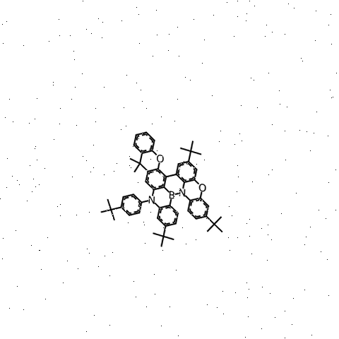 CC(C)(C)c1ccc(N2c3cc(C(C)(C)C)ccc3B3c4c2cc2c(c4-c4cc(C(C)(C)C)cc5c4N3c3ccc(C(C)(C)C)cc3O5)Oc3ccccc3C2(C)C)cc1